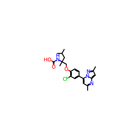 Cc1cc(-c2ccc(OCC(C)(CC(C)C)NC(=O)O)c(Cl)c2)n2nc(C)cc2n1